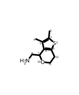 Cc1sc2c(c1C)C(CN)OCC2